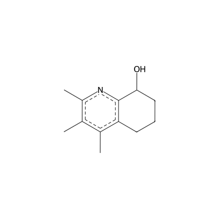 Cc1nc2c(c(C)c1C)CCCC2O